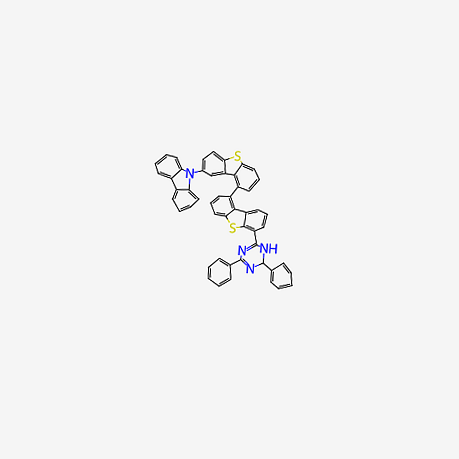 c1ccc(C2=NC(c3ccccc3)NC(c3cccc4c3sc3cccc(-c5cccc6sc7ccc(-n8c9ccccc9c9ccccc98)cc7c56)c34)=N2)cc1